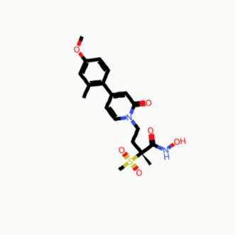 COc1ccc(-c2ccn(CC[C@](C)(C(=O)NO)S(C)(=O)=O)c(=O)c2)c(C)c1